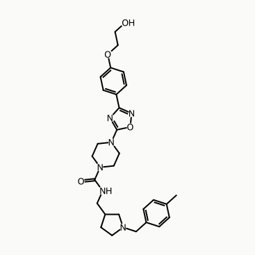 Cc1ccc(CN2CCC(CNC(=O)N3CCN(c4nc(-c5ccc(OCCO)cc5)no4)CC3)C2)cc1